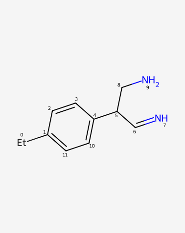 CCc1ccc(C(C=N)CN)cc1